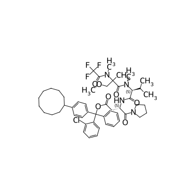 COCC(C)(C(=O)N(C)[C@H](C(=O)N[C@@H](CC(=O)OC(c1ccccc1)(c1ccc(C2CCCCCCCCC2)cc1)c1ccccc1Cl)C(=O)N1CCCC1)C(C)C)N(C)C(=O)C(F)(F)F